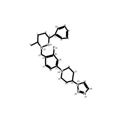 CC1CCC(c2ccccc2)SN1Cc1ccc(N2CCC(n3ccnn3)CC2)cc1F